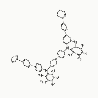 [2H]c1c([2H])c([2H])c(N(c2ccc(-c3ccc(-c4ccccc4)cc3)cc2)c2ccc(-c3ccc(N(c4ccc(-c5ccc(-c6ccccc6)cc5)cc4)c4c([2H])c([2H])c([2H])c([2H])c4[2H])cc3)cc2)c([2H])c1[2H]